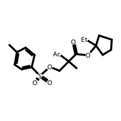 CCC1(OC(=O)C(C)(COS(=O)(=O)c2ccc(C)cc2)C(C)=O)CCCC1